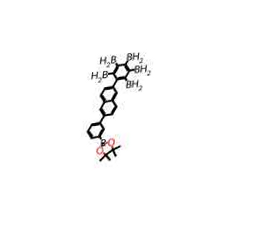 Bc1c(B)c(B)c(-c2ccc3cc(-c4cccc(B5OC(C)(C)C(C)(C)O5)c4)ccc3c2)c(B)c1B